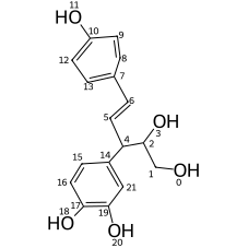 OCC(O)C(/C=C/c1ccc(O)cc1)c1ccc(O)c(O)c1